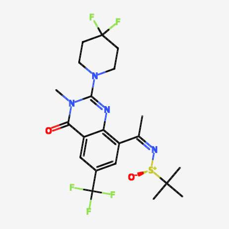 C/C(=N/[S@+]([O-])C(C)(C)C)c1cc(C(F)(F)F)cc2c(=O)n(C)c(N3CCC(F)(F)CC3)nc12